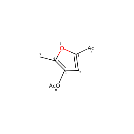 CC(=O)Oc1cc(C(C)=O)oc1C